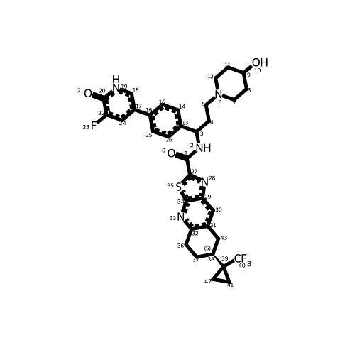 O=C(NC(CCN1CCC(O)CC1)c1ccc(-c2c[nH]c(=O)c(F)c2)cc1)c1nc2cc3c(nc2s1)CC[C@H](C1(C(F)(F)F)CC1)C3